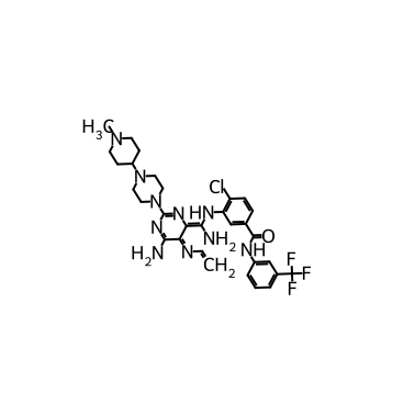 C=C/N=C1/C(N)=NC(N2CCN(C3CCN(C)CC3)CC2)=N/C1=C(/N)Nc1cc(C(=O)Nc2cccc(C(F)(F)F)c2)ccc1Cl